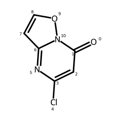 O=c1cc(Cl)nc2ccon12